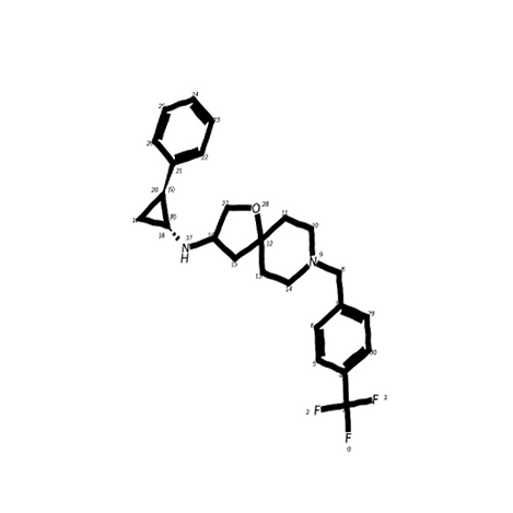 FC(F)(F)c1ccc(CN2CCC3(CC2)CC(N[C@@H]2C[C@H]2c2ccccc2)CO3)cc1